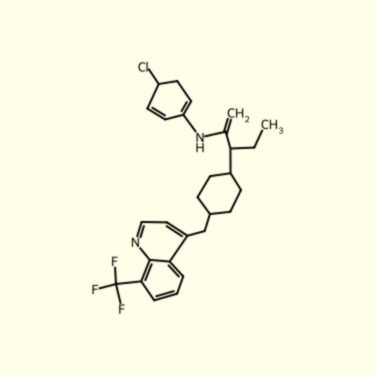 C=C(NC1=CCC(Cl)C=C1)C(CC)C1CCC(Cc2ccnc3c(C(F)(F)F)cccc23)CC1